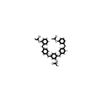 CC(=O)Oc1cccc(Cc2ccc(Cc3ccc(Cc4ccc(Cc5ccccc5OC(C)=O)cc4)cc3OC(C)=O)cc2)c1